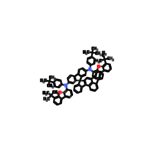 CC(C)(C)c1ccc(N(c2ccc3c(c2)C2(c4cc(N(c5ccc(C(C)(C)C)cc5)c5cccc6c5oc5c(C(C)(C)C)cccc56)ccc4-3)c3ccccc3-c3c2cc2c4c(cccc34)-c3ccccc3-2)c2cccc3c2oc2c(C(C)(C)C)cccc23)cc1